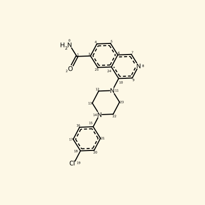 NC(=O)c1ccc2cncc(N3CCN(c4ccc(Cl)cc4)CC3)c2c1